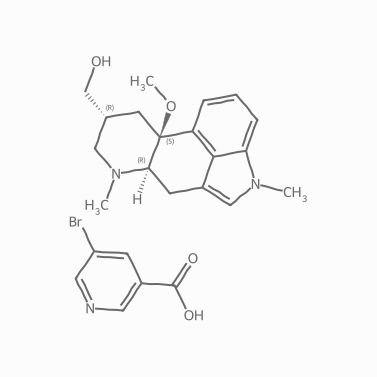 CO[C@]12C[C@@H](CO)CN(C)[C@@H]1Cc1cn(C)c3cccc2c13.O=C(O)c1cncc(Br)c1